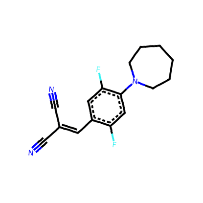 N#CC(C#N)=Cc1cc(F)c(N2CCCCCC2)cc1F